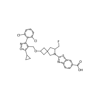 O=C(O)c1ccc2nc(N3CC4(CC(OCc5c(-c6c(Cl)cccc6Cl)noc5C5CC5)C4)CC3CF)sc2c1